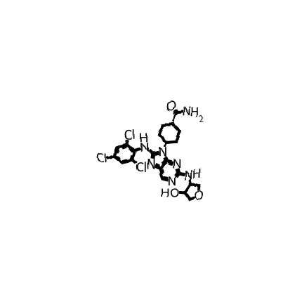 NC(=O)[C@H]1CC[C@@H](n2c(Nc3c(Cl)cc(Cl)cc3Cl)nc3cnc(NC4COCC4O)nc32)CC1